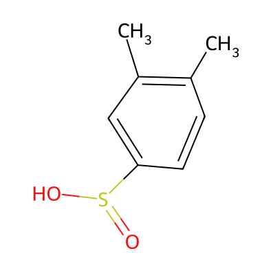 Cc1ccc(S(=O)O)cc1C